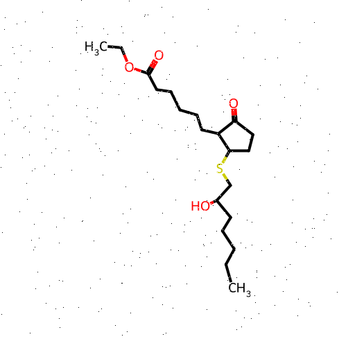 CCCCCC(O)CSC1CCC(=O)C1CCCCCC(=O)OCC